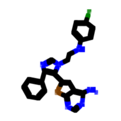 Nc1ncnc2sc(-c3c(-c4ccccc4)ncn3CCNc3ccc(F)cc3)cc12